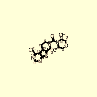 C[C@H]1COC[C@H](C)N1C(=O)N1CCc2c(sc3ncnc(Cl)c23)C1